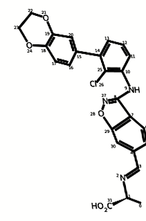 C[C@H](N=Cc1ccc2c(Nc3cccc(-c4ccc5c(c4)OCCO5)c3Cl)noc2c1)C(=O)O